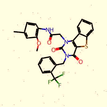 COc1cc(C)ccc1NC(=O)Cn1c(=O)n(Cc2ccccc2C(F)(F)F)c(=O)c2sc3ccccc3c21